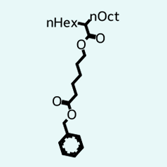 CCCCCCCCC(CCCCCC)C(=O)OCCCCCC(=O)OCc1ccccc1